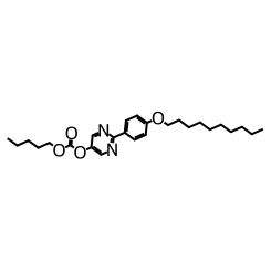 CCCCCCCCCCOc1ccc(-c2ncc(OC(=O)OCCCCC)cn2)cc1